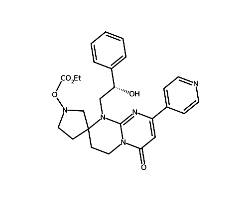 CCOC(=O)ON1CCC2(CCn3c(nc(-c4ccncc4)cc3=O)N2C[C@@H](O)c2ccccc2)C1